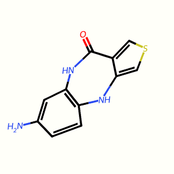 Nc1ccc2c(c1)NC(=O)c1cscc1N2